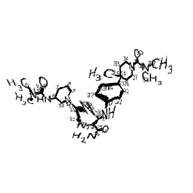 CN(C)C(=O)NC1CCCN(c2cnc(C(N)=O)c(Nc3ccc(C4(C)CCN(C(=O)N(C)C)CC4)cc3)n2)C1